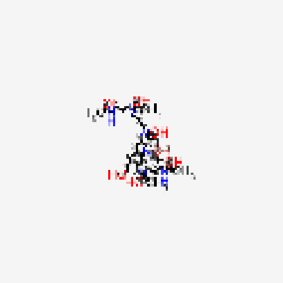 CB(O)NCCCN(CCCCN(CC(CCCCCCO)CN(CCCCN(CCCNB(C)O)B(C)O)B(C)O)B(C)O)B(C)O